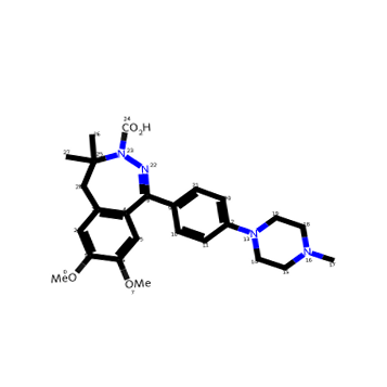 COc1cc2c(cc1OC)C(c1ccc(N3CCN(C)CC3)cc1)=NN(C(=O)O)C(C)(C)C2